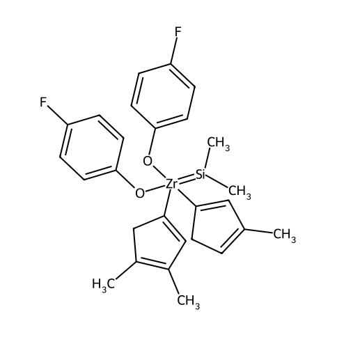 CC1=CC[C]([Zr]([O]c2ccc(F)cc2)([O]c2ccc(F)cc2)([C]2=CC(C)=C(C)C2)=[Si](C)C)=C1